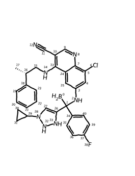 BC(Nc1cc(Cl)c2ncc(C#N)c(NC[C@@H](C)c3ccccc3)c2c1)(C1=CN(C2CC2)NN1)c1ccc(F)cc1